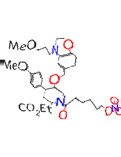 CCOC(=O)C1CC(c2ccc(OC)cc2)C(OCc2ccc3c(c2)N(CCCOC)CCO3)CN1C(=O)CCCCCON(O)O